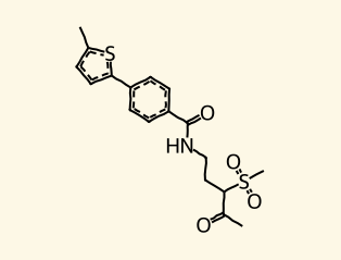 CC(=O)C(CCNC(=O)c1ccc(-c2ccc(C)s2)cc1)S(C)(=O)=O